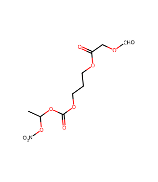 CC(OC(=O)OCCCOC(=O)COC=O)O[N+](=O)[O-]